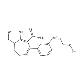 CCOC/C=C\c1cccc(C2=NCCC(CC(C)C)C(N)=C2C(N)=O)c1